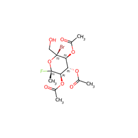 CC(=O)O[C@@H]1[C@@H](OC(C)=O)[C@](C)(F)O[C@](Br)(CO)[C@H]1OC(C)=O